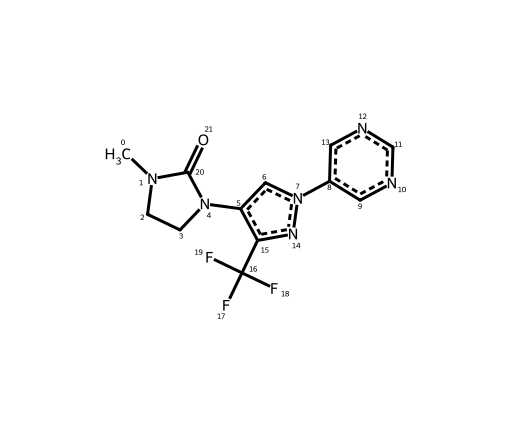 CN1CCN(c2cn(-c3cncnc3)nc2C(F)(F)F)C1=O